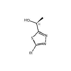 CCc1nnc([C@H](C)O)s1